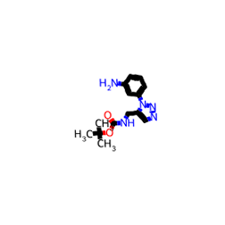 CC(C)(C)OC(=O)NCc1cnnn1-c1cccc(N)c1